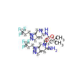 CC(C)(C)OC(=O)Nc1cc2cnn(CCC(F)(F)F)c2cn1.Nc1cc2cnn(CCC(F)(F)F)c2cn1